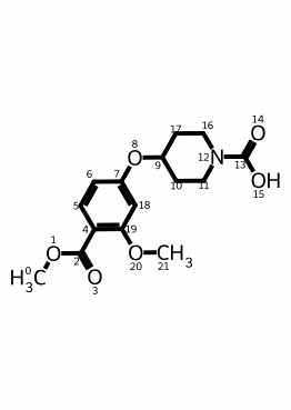 COC(=O)c1ccc(OC2CCN(C(=O)O)CC2)cc1OC